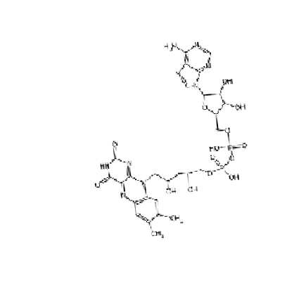 Cc1cc2nc3c(=O)[nH]c(=O)nc-3n(CC(O)CC(O)COP(=O)(O)OP(=O)(O)OCC3OC(n4cnc5c(N)ncnc54)C(O)C3O)c2cc1C